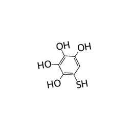 Oc1cc(S)c(O)c(O)c1O